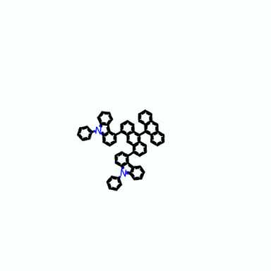 c1ccc(-n2c3ccccc3c3c(-c4cccc5c(-c6c7ccccc7cc7ccccc67)c6cccc(-c7cccc8c7c7ccccc7n8-c7ccccc7)c6cc45)cccc32)cc1